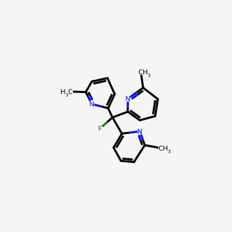 Cc1cccc(C(F)(c2cccc(C)n2)c2cccc(C)n2)n1